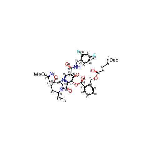 CCCCCCCCCCCCCC(=O)OCc1ccccc1C(=O)Oc1c2n(cc(C(=O)NCc3ccc(F)cc3F)c1=O)C1CN(C2=O)C(C)CCC12CC(OC)=NO2